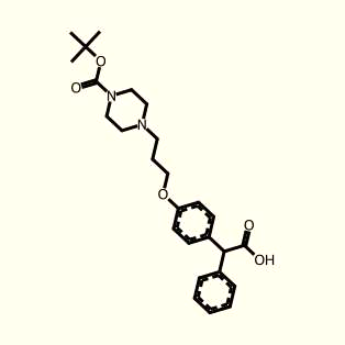 CC(C)(C)OC(=O)N1CCN(CCCOc2ccc(C(C(=O)O)c3ccccc3)cc2)CC1